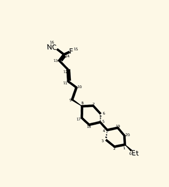 CC[C@H]1CC[C@H]([C@H]2CC[C@H](CCC=CC=C(F)C#N)CC2)CC1